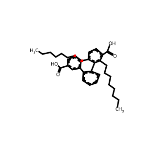 CCCCCCCCc1ccc(C(=O)O)c(CCCCCCCC)c1-c1ccccc1-c1cccc(C(=O)O)c1